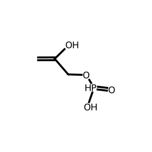 C=C(O)CO[PH](=O)O